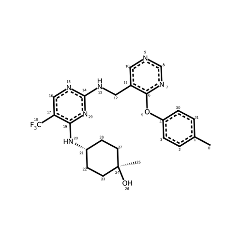 Cc1ccc(Oc2ncncc2CNc2ncc(C(F)(F)F)c(N[C@H]3CC[C@](C)(O)CC3)n2)cc1